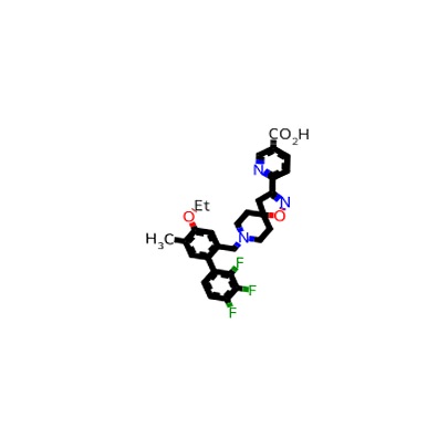 CCOc1cc(CN2CCC3(CC2)CC(c2ccc(C(=O)O)cn2)=NO3)c(-c2ccc(F)c(F)c2F)cc1C